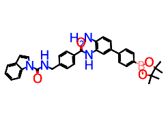 CC1(C)OB(c2ccc(-c3ccc(N)c(NC(=O)c4ccc(CNC(=O)n5ccc6ccccc65)cc4)c3)cc2)OC1(C)C